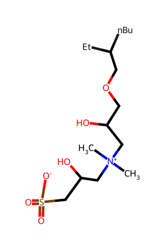 CCCCC(CC)COCC(O)C[N+](C)(C)CC(O)CS(=O)(=O)[O-]